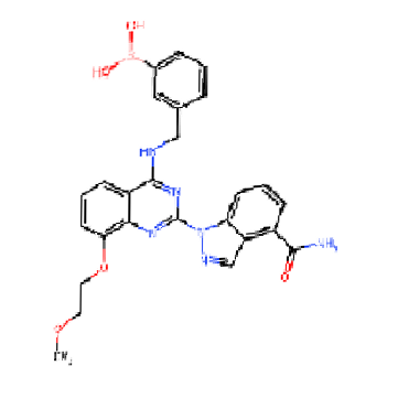 COCCOc1cccc2c(NCc3cccc(B(O)O)c3)nc(-n3ncc4c(C(N)=O)cccc43)nc12